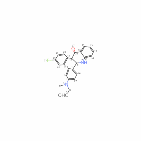 CN(CC=O)c1ccc(C2Nc3ccccc3C(=O)C2c2ccc(F)cc2)cc1